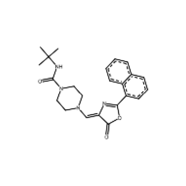 CC(C)(C)NC(=O)N1CCN(C=C2N=C(c3cccc4ccccc34)OC2=O)CC1